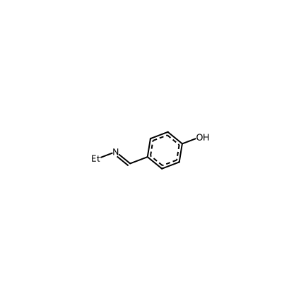 CC/N=C/c1ccc(O)cc1